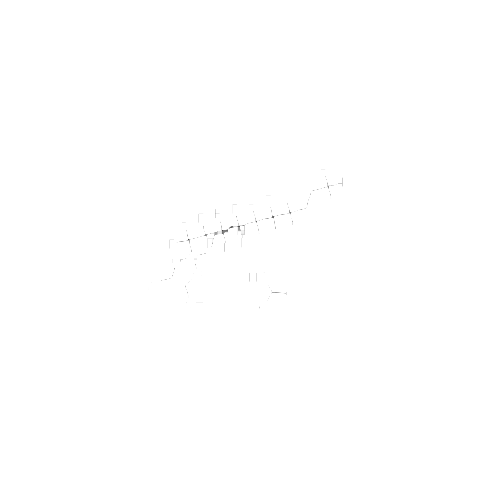 CC(C)O.CCO[Si](OCC)(OCC)C(F)(F)C(F)(F)C(F)(F)C(F)(F)C(F)(F)C(F)(F)C(F)(F)CCC(F)(F)F